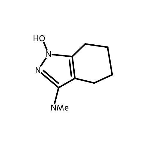 CNc1nn(O)c2c1CCCC2